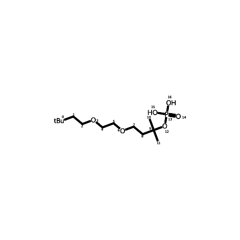 CC(C)(C)CCOCCOCCC(C)(C)OP(=O)(O)O